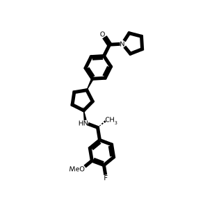 COc1cc([C@@H](C)N[C@H]2CC[C@@H](c3ccc(C(=O)N4CCCC4)cc3)C2)ccc1F